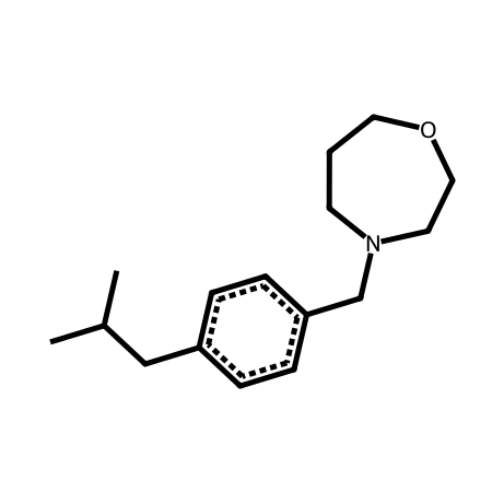 CC(C)Cc1ccc(CN2CCCOCC2)cc1